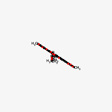 CCCCCCCCCCCCCCCCCCCCCCCCCC(=O)O[C@H](COC(=O)CCCCCCCCCCCCCCCCCCCCC)COP(=O)([O-])OCC[N+](C)(C)C